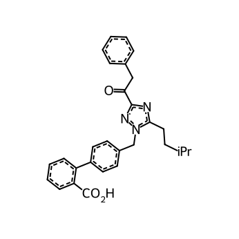 CC(C)CCc1nc(C(=O)Cc2ccccc2)nn1Cc1ccc(-c2ccccc2C(=O)O)cc1